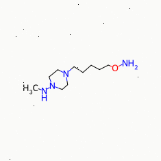 CNN1CCN(CCCCCON)CC1